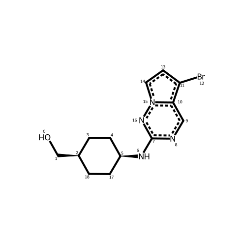 OC[C@H]1CC[C@@H](Nc2ncc3c(Br)ccn3n2)CC1